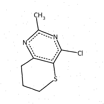 Cc1nc(Cl)c2c(n1)CCCS2